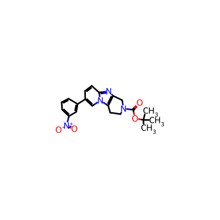 CC(C)(C)OC(=O)N1CCc2c(nc3ccc(-c4cccc([N+](=O)[O-])c4)cn23)C1